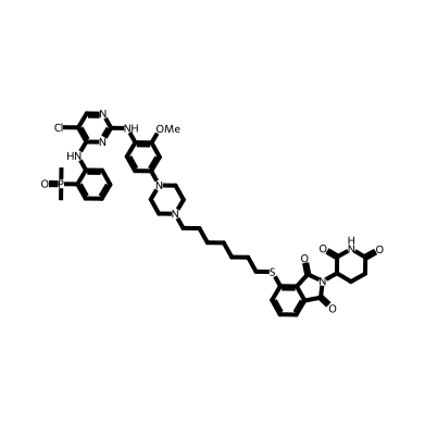 COc1cc(N2CCN(CCCCCCCSc3cccc4c3C(=O)N(C3CCC(=O)NC3=O)C4=O)CC2)ccc1Nc1ncc(Cl)c(Nc2ccccc2P(C)(C)=O)n1